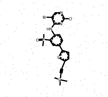 C[Si](C)(C)C#Cc1ccc(-c2ccc(Nc3nc(Cl)ncc3Br)c(P(C)(C)=O)c2)s1